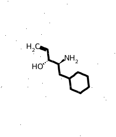 C=C[C@@H](O)[C@@H](N)CC1CCCCC1